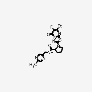 CCc1nc2sc(N3CCCC3C(=O)NCc3cnc(C)cn3)nn2c(=O)c1F